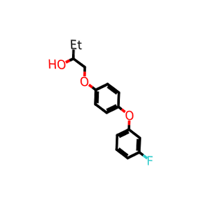 CCC(O)COc1ccc(Oc2cccc(F)c2)cc1